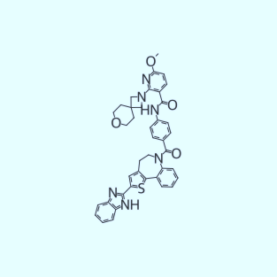 COc1ccc(C(=O)Nc2ccc(C(=O)N3CCc4cc(-c5nc6ccccc6[nH]5)sc4-c4ccccc43)cc2)c(N2CC3(CCOCC3)C2)n1